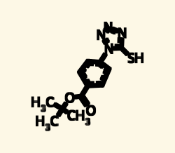 CC(C)(C)OC(=O)c1ccc(-n2nnnc2S)cc1